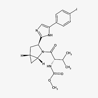 COC(=O)N[C@H](C(=O)N1[C@@H]2C[C@@H]2C[C@H]1c1ncc(-c2ccc(I)cc2)[nH]1)C(C)C